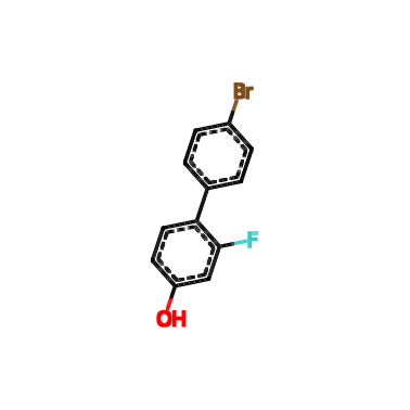 Oc1ccc(-c2ccc(Br)cc2)c(F)c1